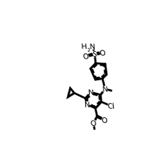 COC(=O)c1nc(C2CC2)nc(N(C)c2ccc(S(N)(=O)=O)cc2)c1Cl